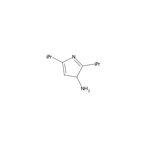 CC(C)C1=CC(N)C(C(C)C)=N1